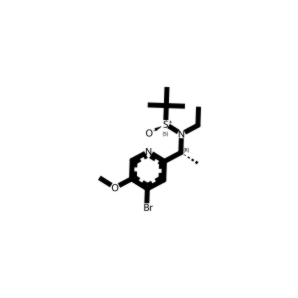 CCN([C@H](C)c1cc(Br)c(OC)cn1)[S@+]([O-])C(C)(C)C